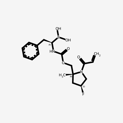 C=CC(=O)N1C[C@@H](F)C[C@]1(C)COC(=O)N[C@@H](Cc1ccccc1)B(O)O